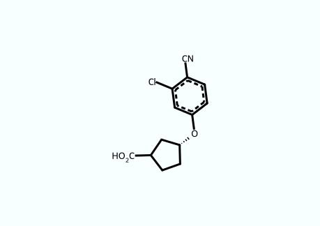 N#Cc1ccc(O[C@@H]2CCC(C(=O)O)C2)cc1Cl